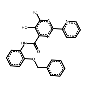 O=C(Nc1ccccc1OCc1ccccc1)c1nc(-c2ccccn2)nc(O)c1O